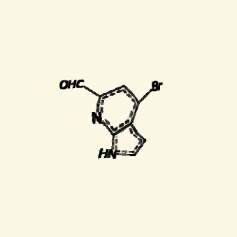 O=Cc1cc(Br)c2cc[nH]c2n1